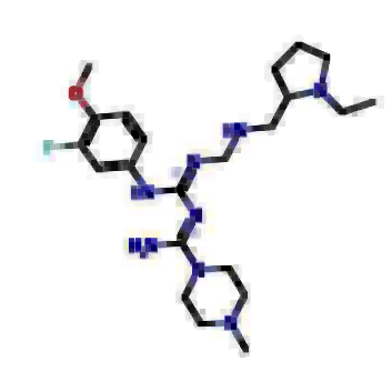 CCN1CCCC1CNC/N=C(\N=C(/N)N1CCN(C)CC1)Nc1ccc(OC)c(F)c1